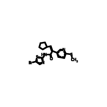 CSc1ccc(C(=CC2CCCC2)C(=O)Nc2ncc(Br)s2)cn1